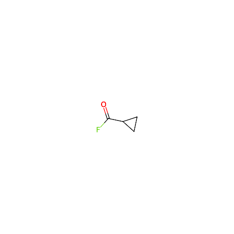 O=C(F)C1CC1